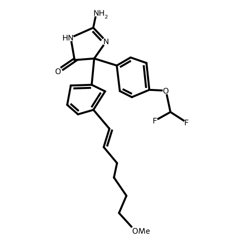 COCCCC/C=C/c1cccc(C2(c3ccc(OC(F)F)cc3)N=C(N)NC2=O)c1